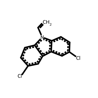 C=Cn1c2ccc(Cl)cc2c2cc(Cl)ccc21